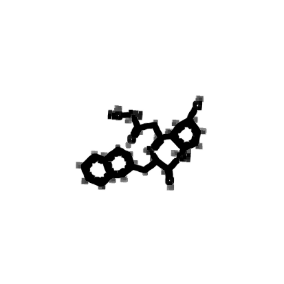 O=C(CC1=NC(Cc2ccc3ccccc3c2)C(=O)Nc2ccc(Cl)cc21)NO